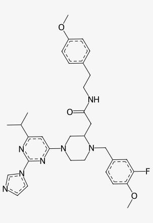 COc1ccc(CCNC(=O)CC2CN(c3cc(C(C)C)nc(-n4ccnc4)n3)CCN2Cc2ccc(OC)c(F)c2)cc1